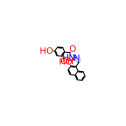 O=C(N/N=C\c1c(O)ccc2ccccc12)c1ccc(O)cc1O